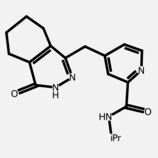 CC(C)NC(=O)c1cc(Cc2n[nH]c(=O)c3c2CCCC3)ccn1